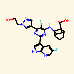 OCCn1cc(-c2nc(-c3c[nH]c4ncc(F)cc34)nc(NC3C4CCC(CC4)C3C(O)O)c2F)cn1